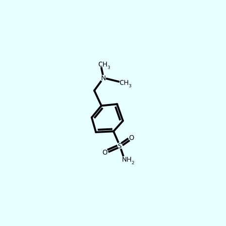 CN(C)Cc1ccc(S(N)(=O)=O)cc1